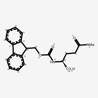 CNC(=O)CC[C@H](NC(=O)OCC1c2ccccc2-c2ccccc21)C(=O)O